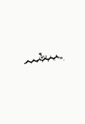 CCCCCCCCCCCCN.I.[SnH2]